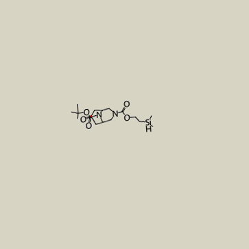 C[SiH](C)CCOC(=O)N1CC2CC(=O)CC(C1)N2C(=O)OC(C)(C)C